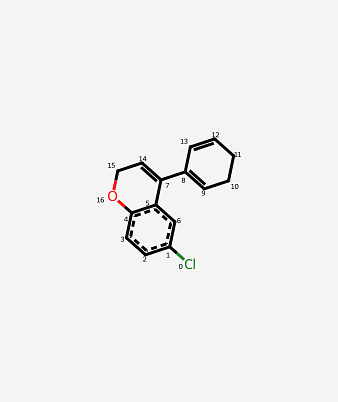 Clc1ccc2c(c1)C(C1=CCCC=C1)=CCO2